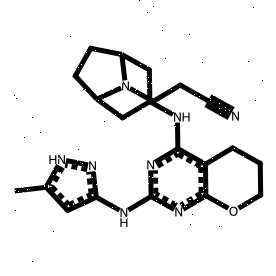 Cc1cc(Nc2nc(NC3CC4CCC(C3)N4CCC#N)c3c(n2)OCCC3)n[nH]1